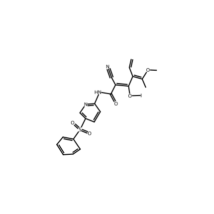 C=CC(/C(OI)=C(\C#N)C(=O)Nc1ccc(S(=O)(=O)c2ccccc2)cn1)=C(/C)OC